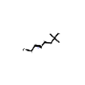 CC(C)(C)CC/C=C/CCl